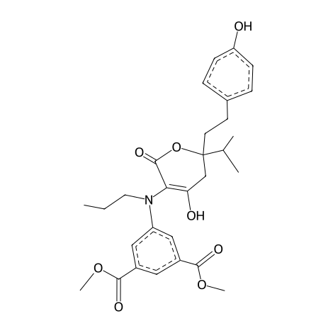 CCCN(C1=C(O)CC(CCc2ccc(O)cc2)(C(C)C)OC1=O)c1cc(C(=O)OC)cc(C(=O)OC)c1